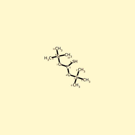 C[Si](C)(C)OP(S)O[Si](C)(C)C